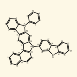 c1ccc(-n2c3ccccc3c3cc4c5c6ccccc6ccc5n(-c5ccc6c(c5)oc5ccccc56)c4cc32)cc1